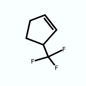 FC(F)(F)C1C=CCC1